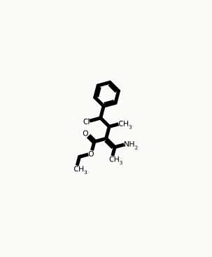 CCOC(=O)C(=C(C)N)C(C)C(Cl)c1ccccc1